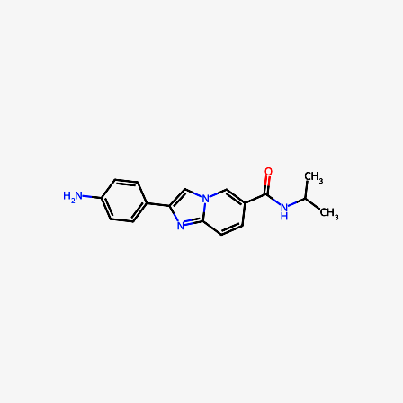 CC(C)NC(=O)c1ccc2nc(-c3ccc(N)cc3)cn2c1